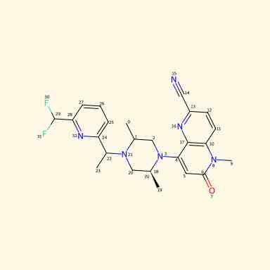 CC1CN(c2cc(=O)n(C)c3ccc(C#N)nc23)[C@@H](C)CN1C(C)c1cccc(C(F)F)n1